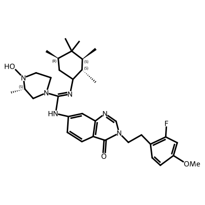 COc1ccc(CCn2cnc3cc(NC(=NC4C[C@@H](C)C(C)(C)[C@@H](C)[C@@H]4C)N4CCN(O)[C@@H](C)C4)ccc3c2=O)c(F)c1